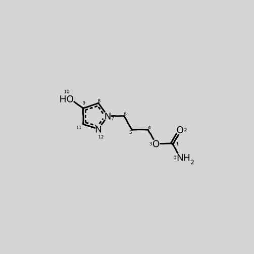 NC(=O)OCCCn1cc(O)cn1